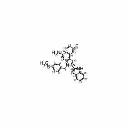 COc1ccc(Cn2nc(-c3cc(F)ccc3C(N)=O)cc2-c2nc3ccccc3[nH]2)cc1